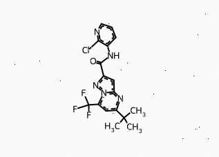 CC(C)(C)c1cc(C(F)(F)F)n2nc(C(=O)Nc3cccnc3Cl)cc2n1